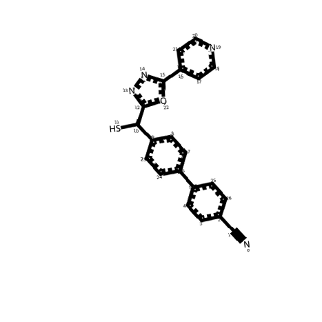 N#Cc1ccc(-c2ccc(C(S)c3nnc(-c4ccncc4)o3)cc2)cc1